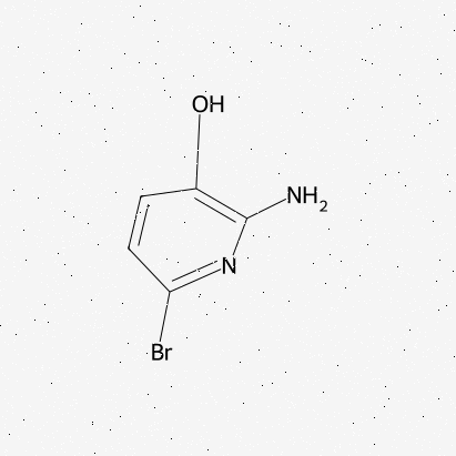 Nc1nc(Br)ccc1O